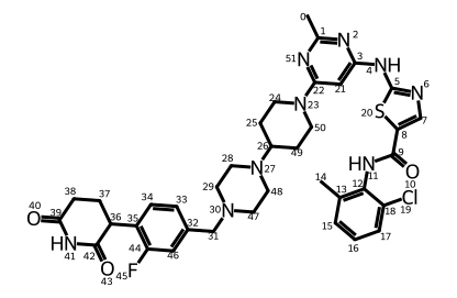 Cc1nc(Nc2ncc(C(=O)Nc3c(C)cccc3Cl)s2)cc(N2CCC(N3CCN(Cc4ccc(C5CCC(=O)NC5=O)c(F)c4)CC3)CC2)n1